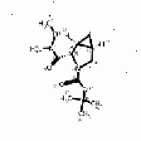 CON(C)C(=O)[C@@H]1[C@H]2C[C@H]2CN1C(=O)OC(C)(C)C